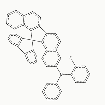 Fc1ccccc1N(c1ccccc1)c1ccc2c3c(ccc2c1)-c1ccc2ccccc2c1C31c2ccccc2-c2ccccc21